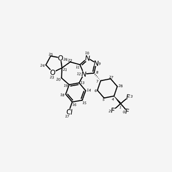 FC(F)(F)[C@H]1CC[C@H](c2nnc3n2-c2ccc(Cl)cc2CC2(C3)OCCO2)CC1